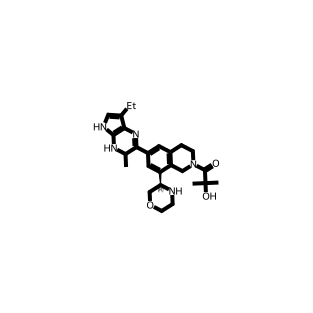 CCc1c[nH]c2c1N=C(c1cc3c(c([C@@H]4COCCN4)c1)CN(C(=O)C(C)(C)O)CC3)C(C)N2